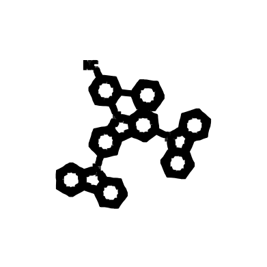 N#Cc1ccc(-n2c3ccc(-n4c5ccccc5c5ccccc54)cc3c3cc(-n4c5ccccc5c5ccccc54)ccc32)c(-c2ccccc2)c1